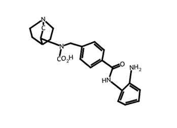 Nc1ccccc1NC(=O)c1ccc(CN(C(=O)O)C2CN3CCC2CC3)cc1